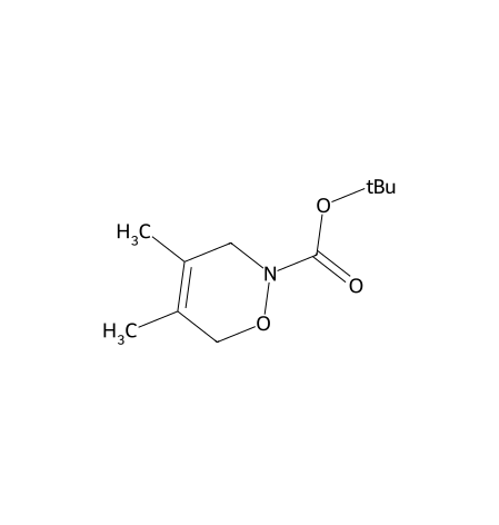 CC1=C(C)CN(C(=O)OC(C)(C)C)OC1